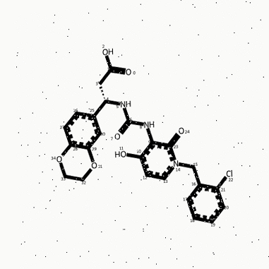 O=C(O)C[C@H](NC(=O)Nc1c(O)ccn(Cc2ccccc2Cl)c1=O)c1ccc2c(c1)OCCO2